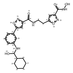 O=C(NO)c1cc(CCNC(=O)c2cc(-c3cccc(NC(O)C4CCCCC4)c3)on2)on1